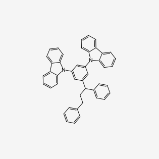 c1ccc(CCC(c2ccccc2)c2cc(-n3c4ccccc4c4ccccc43)cc(-n3c4ccccc4c4ccccc43)c2)cc1